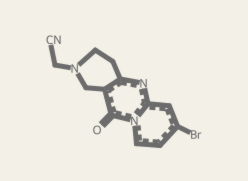 N#CCN1CCc2nc3cc(Br)ccn3c(=O)c2C1